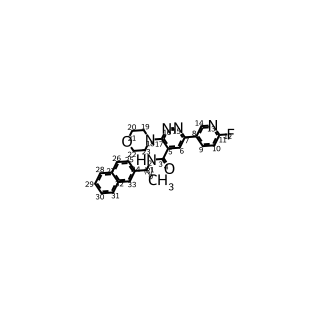 C[C@@H](NC(=O)c1cc(-c2ccc(F)nc2)nnc1N1CCOCC1)c1ccc2ccccc2c1